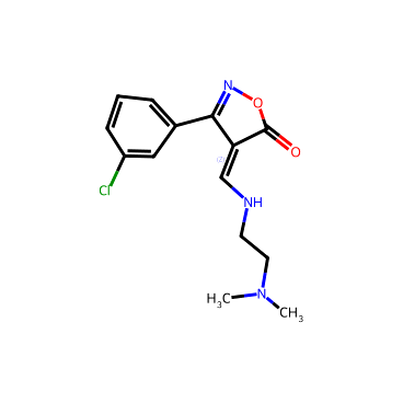 CN(C)CCN/C=C1\C(=O)ON=C1c1cccc(Cl)c1